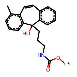 CCCOC(=O)NCCCC1(O)c2ccccc2C=Cc2c(C)cccc21